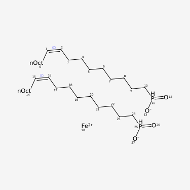 CCCCCCCC/C=C\CCCCCCCC[PH](=O)[O-].CCCCCCCC/C=C\CCCCCCCC[PH](=O)[O-].[Fe+2]